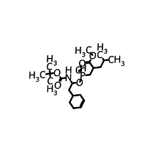 COC(=O)C(CC(C)C)C[PH](=O)OC(CC1CC=CCC1)NC(=O)OC(C)(C)C